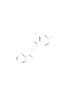 O=C(NOC(=O)c1ccc([N+](=O)[O-])cc1Cl)c1ccccc1